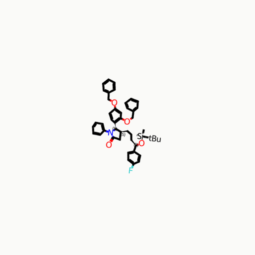 CC(C)(C)[Si](C)(C)O[C@H](CCC[C@H]1CC(=O)N(c2ccccc2)[C@@H]1c1ccc(OCc2ccccc2)cc1OCc1ccccc1)c1ccc(F)cc1